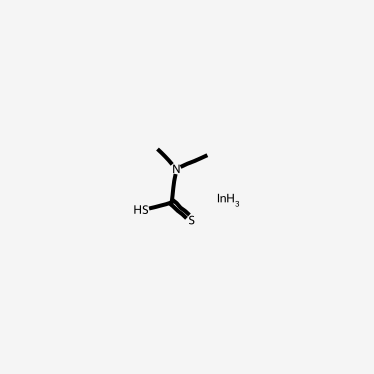 CN(C)C(=S)S.[InH3]